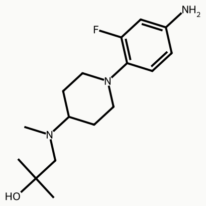 CN(CC(C)(C)O)C1CCN(c2ccc(N)cc2F)CC1